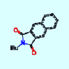 CCC(C)N1C(=O)c2cc3ccccc3cc2C1=O